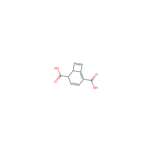 O=C(O)C1=C2C=CC2C(C(=O)O)C=C1